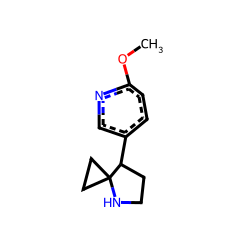 COc1ccc(C2CCNC23CC3)cn1